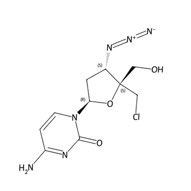 [N-]=[N+]=N[C@H]1C[C@H](n2ccc(N)nc2=O)O[C@@]1(CO)CCl